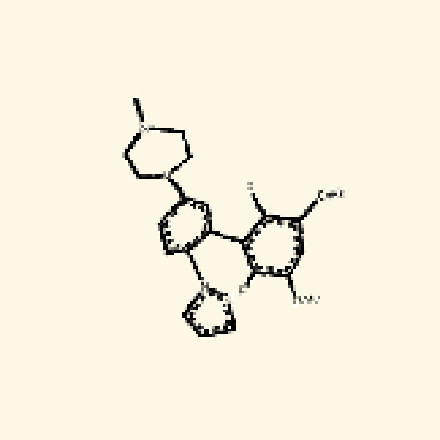 COc1cc(OC)c(F)c(-c2cc(N3CCN(C)CC3)ccc2-n2cccn2)c1F